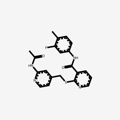 CC(=O)Nc1cc(CSc2ncccc2C(=O)Nc2ccc(C)c(F)c2)ccn1